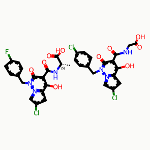 C[C@H](NC(=O)c1c(O)c2cc(Cl)cn2n(Cc2ccc(F)cc2)c1=O)C(=O)O.O=C(O)CNC(=O)c1c(O)c2cc(Cl)cn2n(Cc2ccc(Cl)cc2)c1=O